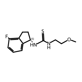 COCCNC(=S)N[C@H]1CCc2c(F)cccc21